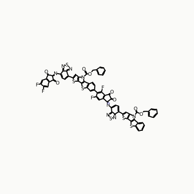 O=C(OCc1ccccc1)n1c2cc(-c3ccc(N=c4c(=O)c5cc(F)c(F)cc5c4=O)c4nsnc34)sc2c2sc3cc(-c4c(F)cc5/c(=N/c6ccc(-c7cc8c(s7)c7sc9ccccc9c7n8C(=O)OCc7ccccc7)c7nsnc67)c(=O)c(=O)c5c4F)ccc3c21